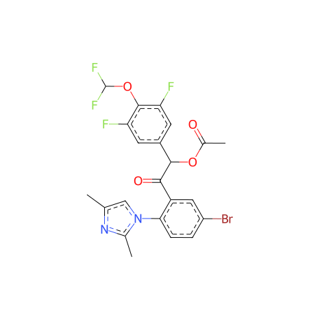 CC(=O)OC(C(=O)c1cc(Br)ccc1-n1cc(C)nc1C)c1cc(F)c(OC(F)F)c(F)c1